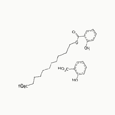 CCCCCCCCCCCCCCCCCCCCOC(=O)c1ccccc1O.O=C(O)c1ccccc1O